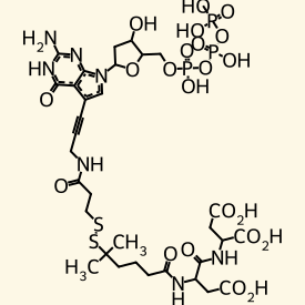 CC(C)(CCCC(=O)NC(CC(=O)O)C(=O)NC(CC(=O)O)C(=O)O)SSCCC(=O)NCC#Cc1cn(C2CC(O)C(COP(=O)(O)OP(=O)(O)OP(=O)(O)O)O2)c2nc(N)[nH]c(=O)c12